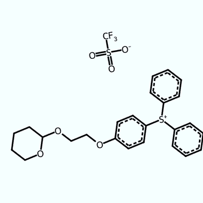 O=S(=O)([O-])C(F)(F)F.c1ccc([S+](c2ccccc2)c2ccc(OCCOC3CCCCO3)cc2)cc1